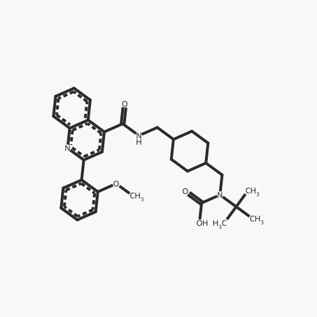 COc1ccccc1-c1cc(C(=O)NCC2CCC(CN(C(=O)O)C(C)(C)C)CC2)c2ccccc2n1